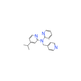 CC(C)c1ccnc(N(Cc2ccncc2)c2[c]cccn2)c1